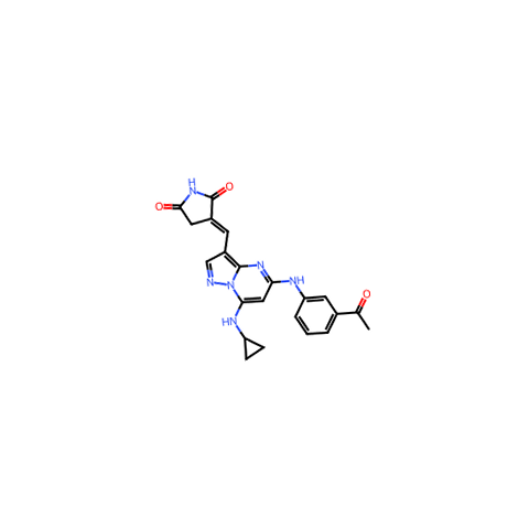 CC(=O)c1cccc(Nc2cc(NC3CC3)n3ncc(C=C4CC(=O)NC4=O)c3n2)c1